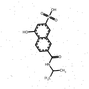 CC(C)NC(=O)c1ccc2c(O)cc(S(=O)(=O)O)cc2c1